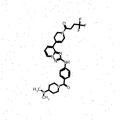 CN(C)C1CCN(C(=O)c2ccc(Nc3nc4c(C5=CCN(C(=O)CCC(F)(F)F)CC5)cccn4n3)cc2)CC1